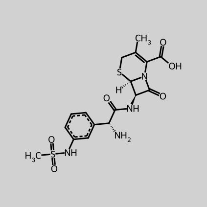 CC1=C(C(=O)O)N2C(=O)[C@@H](NC(=O)[C@H](N)c3cccc(NS(C)(=O)=O)c3)[C@H]2SC1